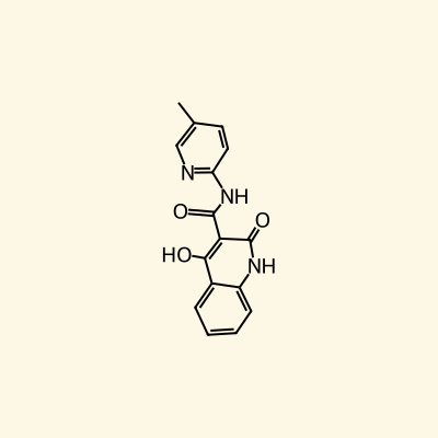 Cc1ccc(NC(=O)c2c(O)c3ccccc3[nH]c2=O)nc1